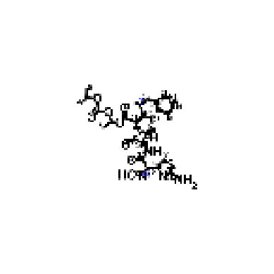 CC(C)OC(=O)OC(C)OC(=O)C1=C(/C=C\c2cccnc2)CS[C@@H]2[C@H](NC(=O)/C(=N\O)c3csc(N)n3)C(=O)N12